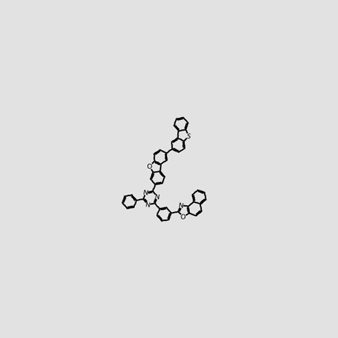 c1ccc(-c2nc(-c3cccc(-c4nc5c(ccc6ccccc65)o4)c3)nc(-c3ccc4c(c3)oc3ccc(-c5ccc6sc7ccccc7c6c5)cc34)n2)cc1